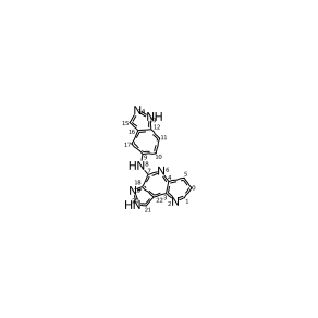 c1cnc2c(c1)nc(Nc1ccc3[nH]ncc3c1)c1n[nH]cc12